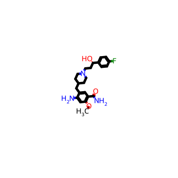 COc1cc(N)c(CC2CCN(CC[C@H](O)c3ccc(F)cc3)CC2)cc1C(N)=O